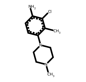 Cc1c(N2CCN(C)CC2)ccc(N)c1Cl